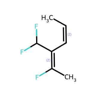 C/C=C\C(=C(/C)F)C(F)F